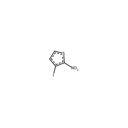 O=[N+]([O-])c1sccc1I